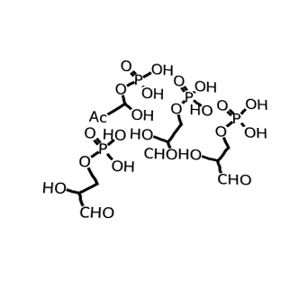 CC(=O)C(O)OP(=O)(O)O.O=CC(O)COP(=O)(O)O.O=CC(O)COP(=O)(O)O.O=CC(O)COP(=O)(O)O